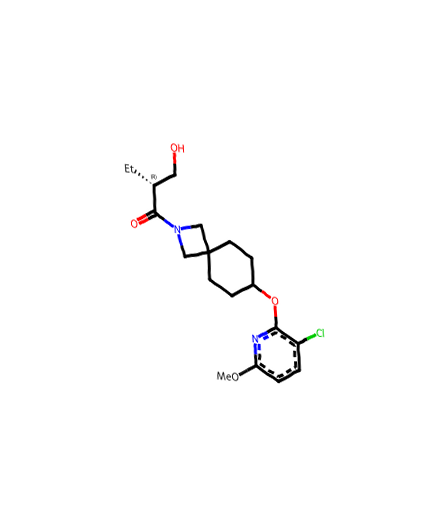 CC[C@H](CO)C(=O)N1CC2(CCC(Oc3nc(OC)ccc3Cl)CC2)C1